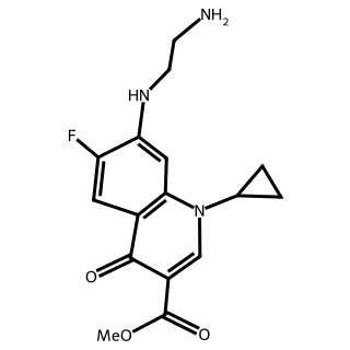 COC(=O)c1cn(C2CC2)c2cc(NCCN)c(F)cc2c1=O